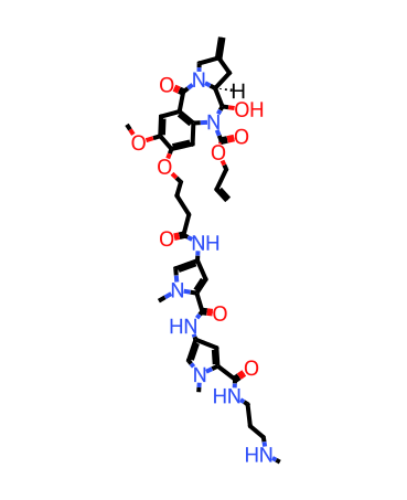 C=CCOC(=O)N1c2cc(OCCCC(=O)Nc3cc(C(=O)Nc4cc(C(=O)NCCCNC)n(C)c4)n(C)c3)c(OC)cc2C(=O)N2CC(=C)C[C@H]2C1O